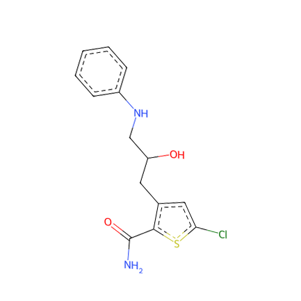 NC(=O)c1sc(Cl)cc1CC(O)CNc1ccccc1